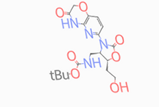 CC(C)(C)OC(=O)NC[C@@H]1[C@H](CCO)OC(=O)N1c1ccc2c(n1)NC(=O)CO2